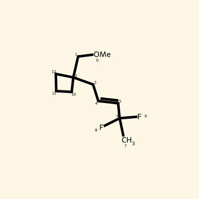 COCC1(C/C=C/C(C)(F)F)CCC1